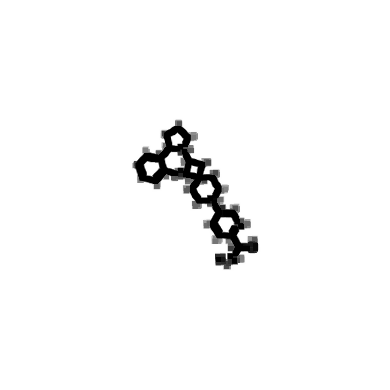 CC(C)c1ccccc1C1CCCN1C1CC2(CCN(c3ccc(C(N)=O)nc3)CC2)C1